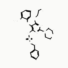 COc1ccccc1Oc1c(NS(=O)(=O)NCc2ccccc2)nc(N2CCOCC2)nc1OCCO